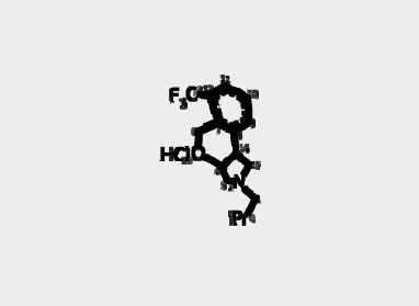 CC(C)CN1CC2OCc3c(cccc3C(F)(F)F)C2C1.Cl